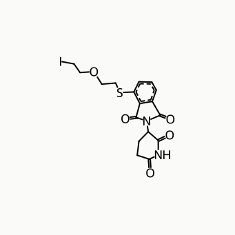 O=C1CCC(N2C(=O)c3cccc(SCCOCCI)c3C2=O)C(=O)N1